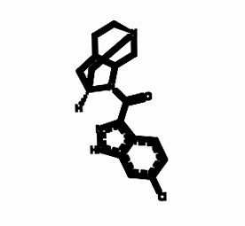 O=C(c1n[nH]c2cc(Cl)ccc12)N1C2C[N@]3CCC2C[C@H]1C3